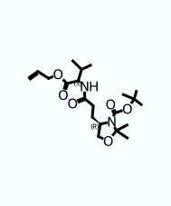 C=CCOC(=O)[C@@H](NC(=O)CC[C@@H]1COC(C)(C)N1C(=O)OC(C)(C)C)C(C)C